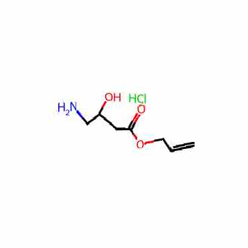 C=CCOC(=O)CC(O)CN.Cl